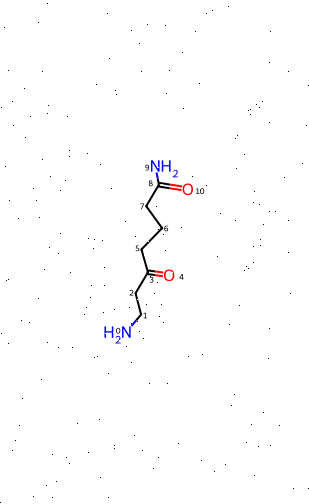 NCCC(=O)CCCC(N)=O